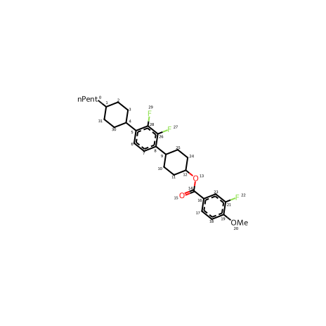 CCCCCC1CCC(c2ccc(C3CCC(OC(=O)c4ccc(OC)c(F)c4)CC3)c(F)c2F)CC1